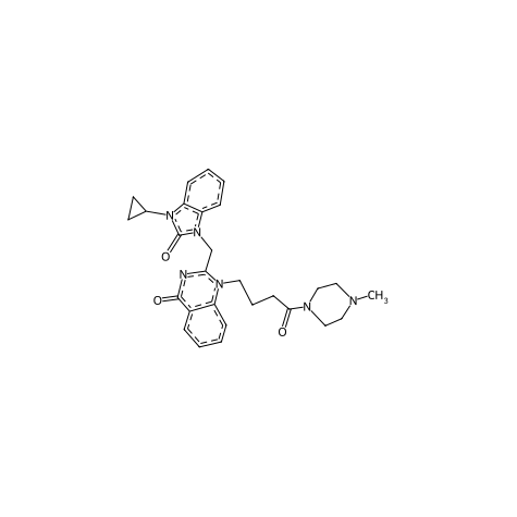 CN1CCN(C(=O)CCCn2c(Cn3c(=O)n(C4CC4)c4ccccc43)nc(=O)c3ccccc32)CC1